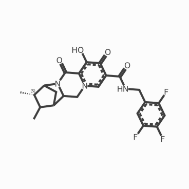 CC1C2CC([C@H]1C)N1C(=O)c3c(O)c(=O)c(C(=O)NCc4cc(F)c(F)cc4F)cn3CC21